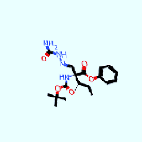 CC[C@H](C)[C@@](/C=N/NC(N)=O)(NC(=O)OC(C)(C)C)C(=O)Oc1ccccc1